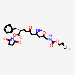 C=CCOC(=O)NCC(=O)CC(=N)CC(=O)/C=C/[C@@H](Cc1ccccc1)C(=O)ON1C(=O)CCC1=O